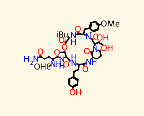 CCC(C)C1NC(=O)C(Cc2ccc(OC)cc2)N(C)C(=O)C(C(C)O)N2C(=O)C(CCC2O)NC(=O)C(CCc2ccc(O)cc2)NC(=O)C(NC(=O)C(CCC(N)=O)NC=O)C(C)OC1=O